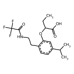 CCC(Oc1cc(C(C)C)ccc1CCNC(=O)C(F)(F)F)C(=O)O